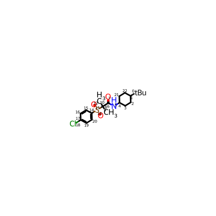 CC(C)(C)C1CCC(NC(=O)C(C)(C)S(=O)(=O)c2ccc(Cl)cc2)CC1